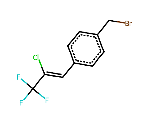 FC(F)(F)C(Cl)=Cc1ccc(CBr)cc1